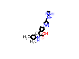 Cc1cc(C)c(NC(Cc2ccc(-n3cc(CNc4ncc[nH]4)cn3)cc2)C(=O)O)c(C)c1